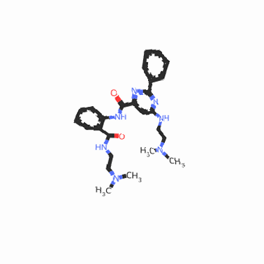 CN(C)CCNC(=O)c1ccccc1NC(=O)c1cc(NCCN(C)C)nc(-c2ccccc2)n1